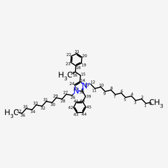 CCCCCCCCCCCCC[n+]1c(CC(C)c2ccccc2)cn(CCCCCCCCCCCC)c1Cc1ccccc1